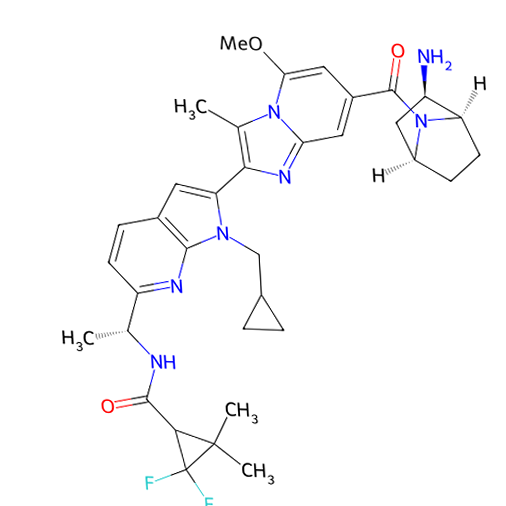 COc1cc(C(=O)N2[C@H]3CC[C@@H]2[C@H](N)C3)cc2nc(-c3cc4ccc([C@@H](C)NC(=O)C5C(C)(C)C5(F)F)nc4n3CC3CC3)c(C)n12